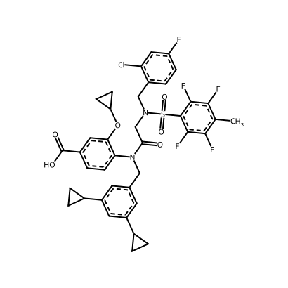 Cc1c(F)c(F)c(S(=O)(=O)N(CC(=O)N(Cc2cc(C3CC3)cc(C3CC3)c2)c2ccc(C(=O)O)cc2OC2CC2)Cc2ccc(F)cc2Cl)c(F)c1F